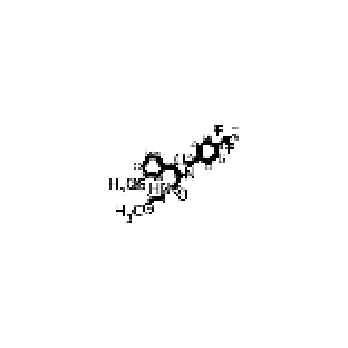 COCCNC(=O)c1nc(-c2ccc(C(F)(F)F)cc2)oc1-c1cccc(SC)c1